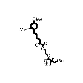 COc1ccc(/C=C/C=C/C(=O)C(=O)OCCOC(=O)C(C)(CC(C)(C)C)C(C)(C)C)c(OC)c1